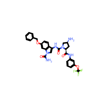 NC(=O)n1cc(NC(=O)N2C[C@@H](N)C[C@H]2C(=O)Nc2cccc(OC(F)(F)F)c2)c2ccc(OCc3ccccc3)cc21